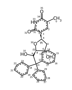 Cc1cn([C@H]2C[C@H](O)[C@@H](C(O)C(c3ccccc3)(c3ccccc3)c3ccccc3)O2)c(=O)[nH]c1=O